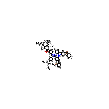 CC(C)(C)c1ccc(Nc2cc3oc4cc5c(cc4c3cc2-c2ccc3c4cc6sc7ccccc7c6cc4n4c3c2Bc2cc3sc6ccccc6c3cc2-4)C(C)(C)CCC5(C)C)cc1